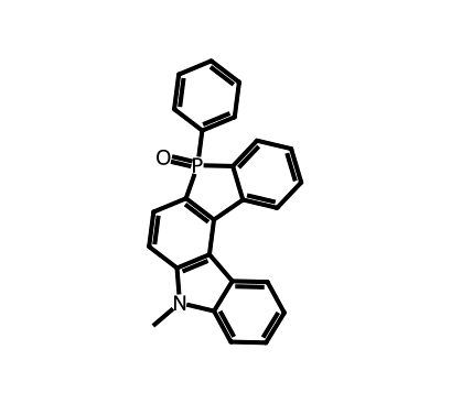 Cn1c2ccccc2c2c3c(ccc21)P(=O)(c1ccccc1)c1ccccc1-3